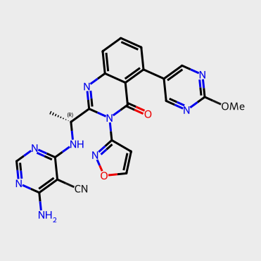 COc1ncc(-c2cccc3nc([C@@H](C)Nc4ncnc(N)c4C#N)n(-c4ccon4)c(=O)c23)cn1